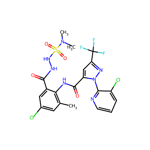 Cc1cc(Cl)cc(C(=O)NNS(=O)(=O)N(C)C)c1NC(=O)c1cc(C(F)(F)F)nn1-c1ncccc1Cl